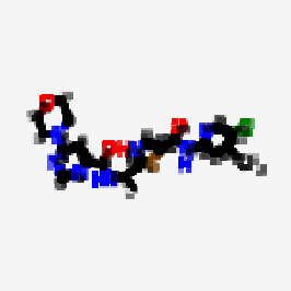 C[C@@H](NC(O)c1cc(N2CCOCC2)ncn1)c1ncc(C(=O)Nc2cc(C(F)(F)F)c(Cl)cn2)s1